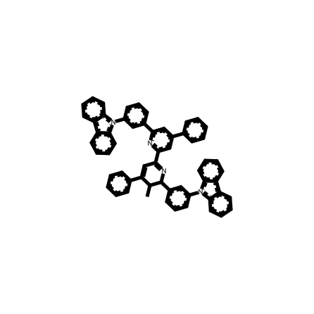 CC1C(c2ccccc2)=CC(c2cc(-c3ccccc3)cc(-c3cccc(-n4c5ccccc5c5ccccc54)c3)n2)=NC1c1cccc(-n2c3ccccc3c3ccccc32)c1